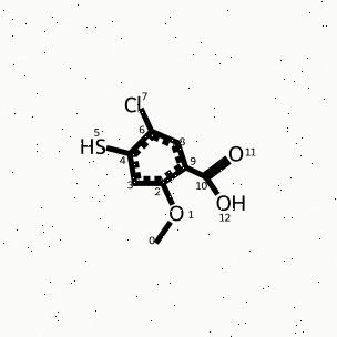 COc1cc(S)c(Cl)cc1C(=O)O